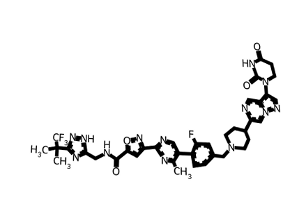 Cc1nc(-c2cc(C(=O)NCc3nc(C(C)(C)C(F)(F)F)n[nH]3)on2)ncc1-c1ccc(CN2CCC(c3cn4ncc(N5CCC(=O)NC5=O)c4cn3)CC2)cc1F